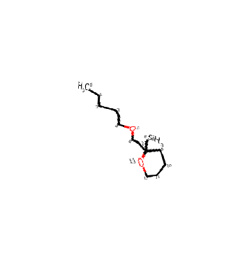 CCCCCOCC1([SiH3])CCCCO1